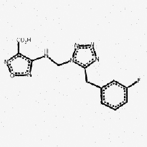 O=C(O)c1nonc1NCn1nnnc1Cc1cccc(F)c1